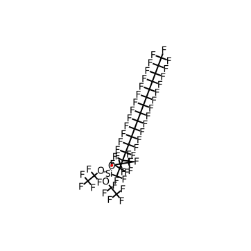 FC(F)(F)C(F)(F)O[Si](OC(F)(F)C(F)(F)F)(OC(F)(F)C(F)(F)F)C(F)(F)C(F)(F)C(F)(F)C(F)(F)C(F)(F)C(F)(F)C(F)(F)C(F)(F)C(F)(F)C(F)(F)C(F)(F)C(F)(F)C(F)(F)C(F)(F)C(F)(F)C(F)(F)F